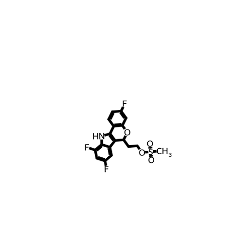 CS(=O)(=O)OCCC1Oc2cc(F)ccc2-c2[nH]c3c(F)cc(F)cc3c21